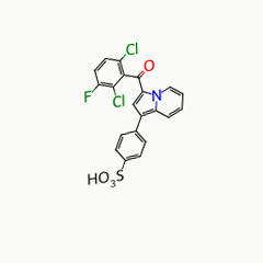 O=C(c1c(Cl)ccc(F)c1Cl)c1cc(-c2ccc(S(=O)(=O)O)cc2)c2ccccn12